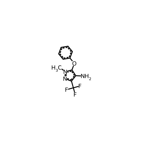 Cn1nc(C(F)(F)F)c(N)c1Oc1ccccc1